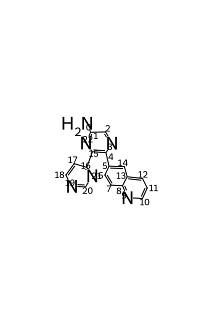 Nc1cnc(-c2ccc3ncccc3c2)c(-c2ccncn2)n1